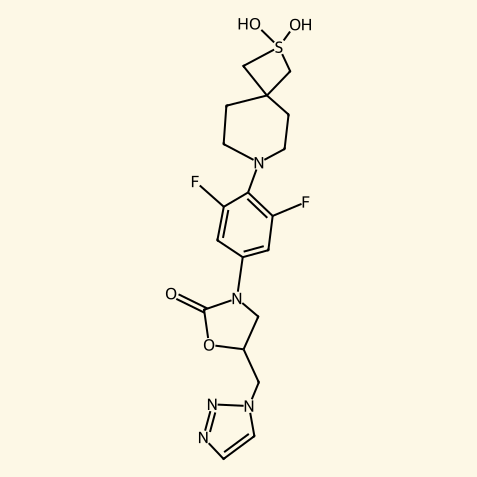 O=C1OC(Cn2ccnn2)CN1c1cc(F)c(N2CCC3(CC2)CS(O)(O)C3)c(F)c1